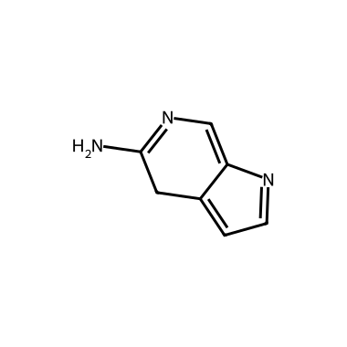 NC1=NC=C2N=CC=C2C1